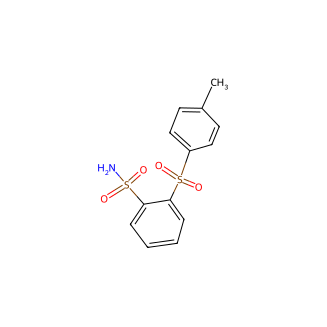 Cc1ccc(S(=O)(=O)c2ccccc2S(N)(=O)=O)cc1